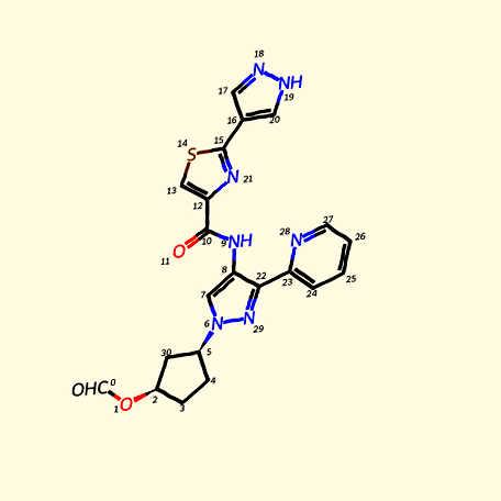 O=CO[C@@H]1CC[C@H](n2cc(NC(=O)c3csc(-c4cn[nH]c4)n3)c(-c3ccccn3)n2)C1